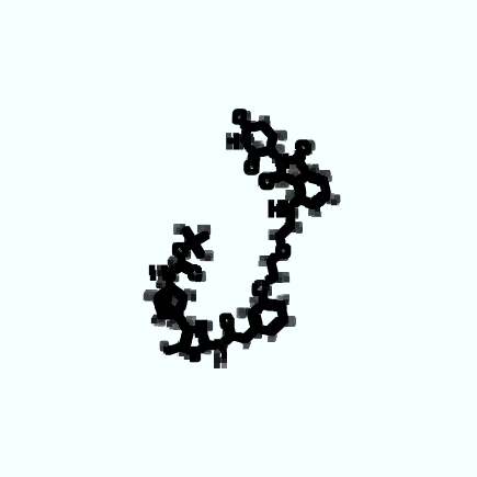 Cc1sc(NC(=O)Cc2cccc(OCCOCCNc3cccc4c3C(=O)N(C3CCC(=O)NC3=O)C4=O)c2)nc1C12CCC(NC(=O)OC(C)(C)C)(C1)C2